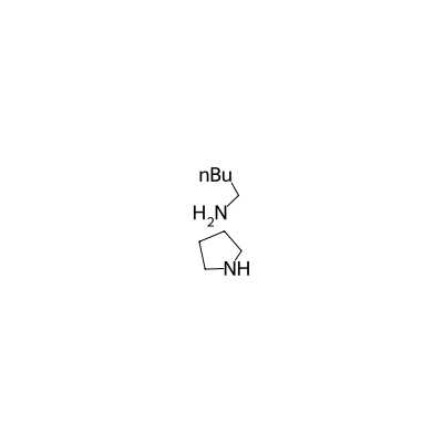 C1CCNC1.CCCCCN